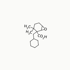 CC1(C)CCC2OC2C1(CC1CCCCC1)C(=O)O